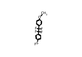 CCOc1ccc(C(F)(F)C(F)(F)c2ccc(SF)cc2)cc1